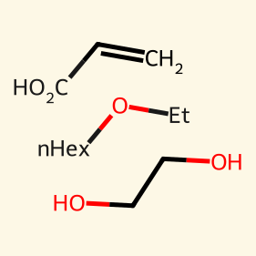 C=CC(=O)O.CCCCCCOCC.OCCO